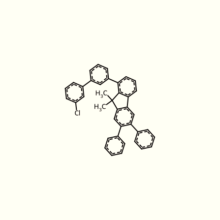 CC1(C)c2cc(-c3ccccc3)c(-c3ccccc3)cc2-c2cccc(-c3cccc(-c4cccc(Cl)c4)c3)c21